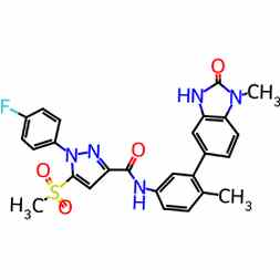 Cc1ccc(NC(=O)c2cc(S(C)(=O)=O)n(-c3ccc(F)cc3)n2)cc1-c1ccc2c(c1)[nH]c(=O)n2C